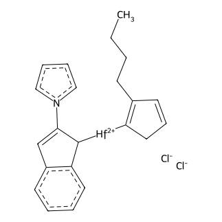 CCCCC1=[C]([Hf+2][CH]2C(n3cccc3)=Cc3ccccc32)CC=C1.[Cl-].[Cl-]